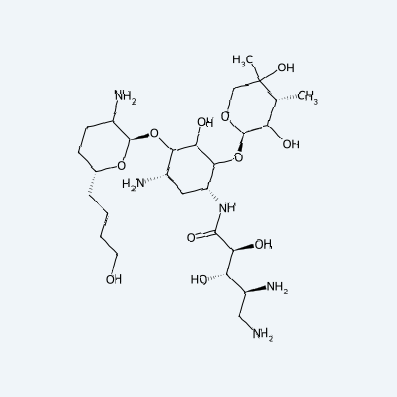 C[C@@H]1C(O)[C@@H](OC2C(O)C(O[C@H]3O[C@H](CCCCO)CCC3N)[C@@H](N)C[C@H]2NC(=O)[C@@H](O)[C@@H](O)[C@@H](N)CN)OCC1(C)O